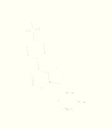 CS(=O)(=O)N1CCN(c2nc(Cl)nc3c2cnn3-c2cccc(C(F)(F)F)c2)CC1